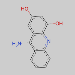 Nc1c2ccccc2nc2c(O)cc(O)cc12